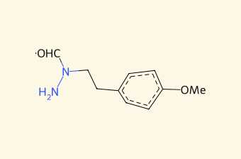 COc1ccc(CCN(N)[C]=O)cc1